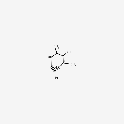 CC(C)=C(C)C(C)NC#CC(C)C